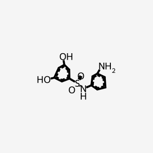 Nc1cccc(NS(=O)(=O)c2cc(O)cc(O)c2)c1